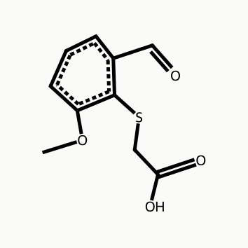 COc1cccc(C=O)c1SCC(=O)O